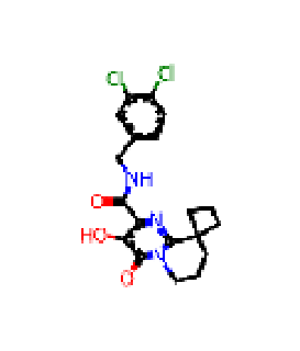 O=C(NCc1ccc(Cl)c(Cl)c1)c1nc2n(c(=O)c1O)CCCC21CCC1